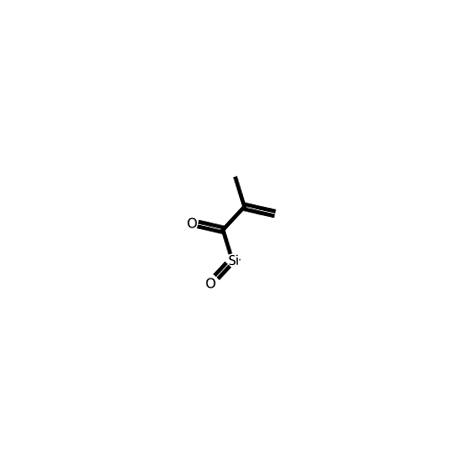 C=C(C)C(=O)[Si]=O